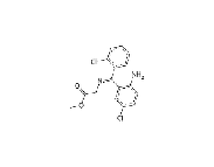 COC(=O)C/N=C(\c1cc(Cl)ccc1N)c1ccccc1Cl